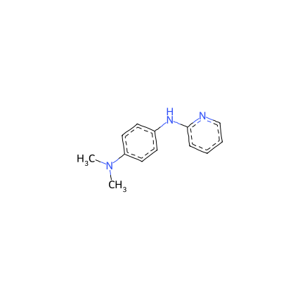 CN(C)c1ccc(Nc2ccccn2)cc1